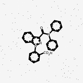 O=C(O)c1ccccc1-n1nc(C(=O)N(c2ccccc2)c2ccccc2)c2ccccc21